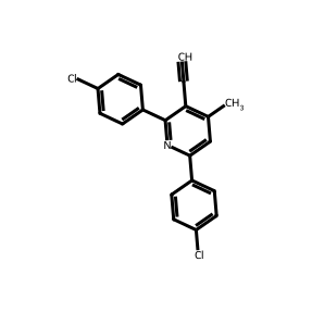 C#Cc1c(C)cc(-c2ccc(Cl)cc2)nc1-c1ccc(Cl)cc1